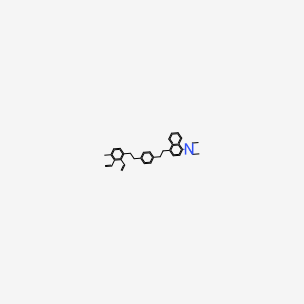 C=Cc1c(C)ccc(CCc2ccc(CCc3ccc(N(CC)CC)c4ccccc34)cc2)c1C=C